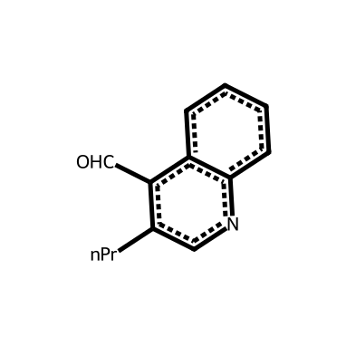 CCCc1cnc2ccccc2c1C=O